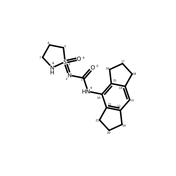 O=C(N=S1(=O)CCCN1)Nc1c2c(cc3c1CCC3)CCC2